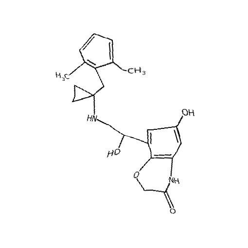 Cc1cccc(C)c1CC1(NCC(O)c2cc(O)cc3c2OCC(=O)N3)CC1